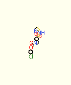 O=C(COc1ccc(Cl)cc1)N1CCc2cc(S(=O)(=O)Nc3nccs3)ccc21